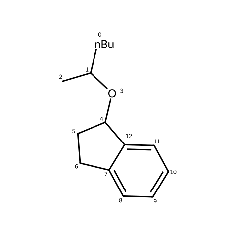 CCCCC(C)OC1CCc2ccccc21